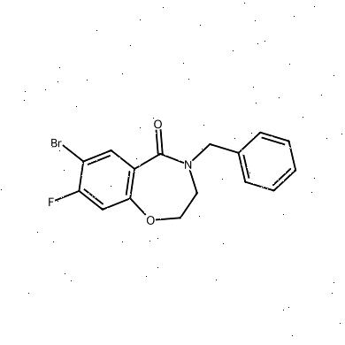 O=C1c2cc(Br)c(F)cc2OCCN1Cc1ccccc1